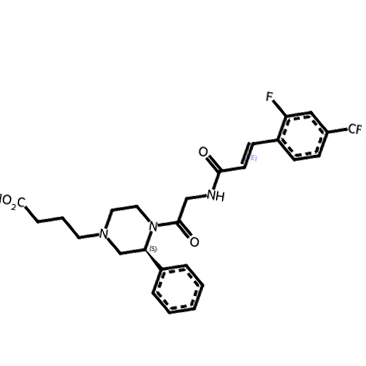 O=C(O)CCCN1CCN(C(=O)CNC(=O)/C=C/c2ccc(C(F)(F)F)cc2F)[C@@H](c2ccccc2)C1